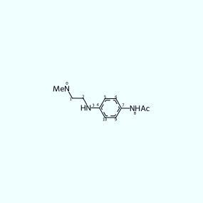 CNCCNc1ccc(NC(C)=O)cc1